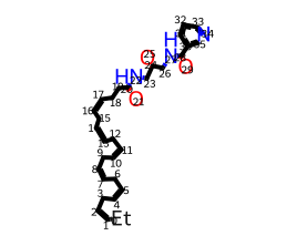 CC/C=C\C/C=C\C/C=C\C/C=C\C/C=C\C/C=C\CCC(=O)NCC(=O)CNC(=O)c1cccnc1